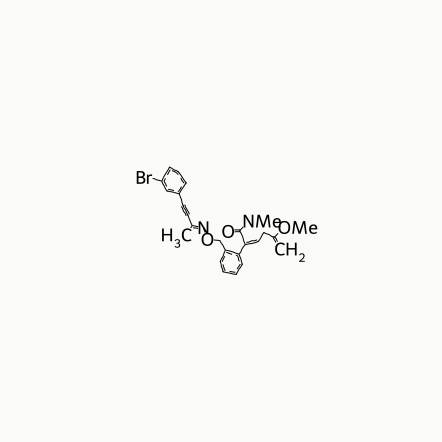 C=C(C/C=C(\C(=O)NC)c1ccccc1CO/N=C(\C)C#Cc1cccc(Br)c1)OC